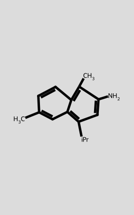 Cc1ccc2c(C)c(N)cc(C(C)C)c2c1